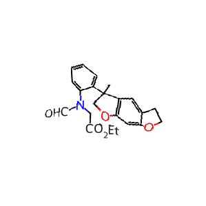 CCOC(=O)CN(C=O)c1ccccc1C1(C)COc2cc3c(cc21)CCO3